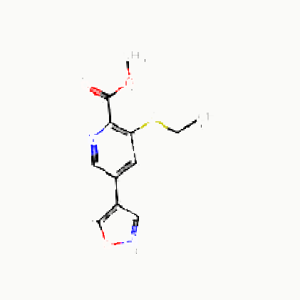 CCSc1cc(-c2cnoc2)cnc1C(=O)OC